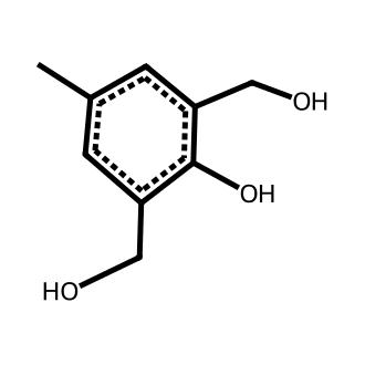 Cc1cc(CO)c(O)c(CO)c1